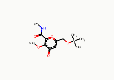 CCCCOc1c(C(=O)NC(C)C)oc(CO[Si](C)(C)C(C)(C)C)cc1=O